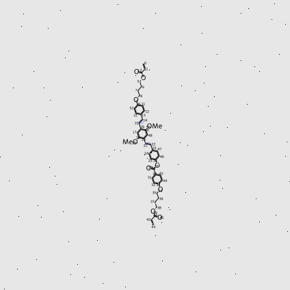 C=CC(=O)OCCCCOc1ccc(/C=C/c2cc(OC)c(/C=C/c3ccc(OC(=O)c4ccc(OCCCCOC(=O)C=C)cc4)cc3)cc2OC)cc1